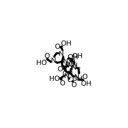 NC(CC1(N(CC(=O)O)CC(=O)O)CN(CC(=O)O)CCN(CC(=O)O)C1)CC1(N(CC(=O)O)CC(=O)O)CN(CC(=O)O)CCN(CC(=O)O)C1